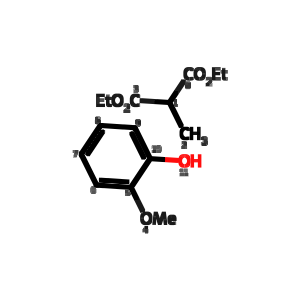 CCOC(=O)C(C)C(=O)OCC.COc1ccccc1O